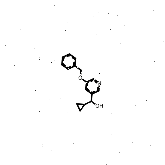 OC(c1cncc(OCc2ccccc2)c1)C1CC1